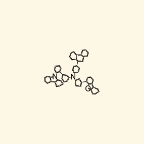 c1cc(-c2ccccc2-n2c3ccccc3c3ccccc32)cc(N(c2ccc(-c3cc4ccccc4c4ccccc34)cc2)c2cccc(-c3cccc4c3oc3ccccc34)c2)c1